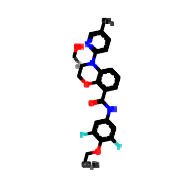 CCOC(=O)COc1c(F)cc(NC(=O)c2cccc3c2OC[C@H](CO)N3c2ccc(C)cn2)cc1F